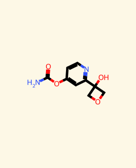 NC(=O)Oc1ccnc(C2(O)COC2)c1